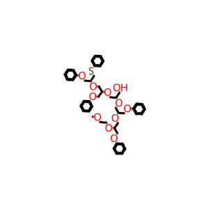 COCCOC(COc1ccccc1)COC(COc1ccccc1)COC(CO)COC(COc1ccccc1)COC(COc1ccccc1)CSc1ccccc1